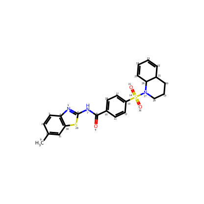 Cc1ccc2nc(NC(=O)c3ccc(S(=O)(=O)N4CCCC5C=CC=CC54)cc3)sc2c1